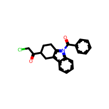 O=C(CCl)C1CCc2c(c3ccccc3n2C(=O)c2ccccc2)C1